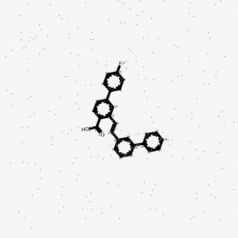 O=C(O)c1ccc(-c2ccc(F)cc2)cc1/C=C/c1cccc(-c2ccccc2)c1